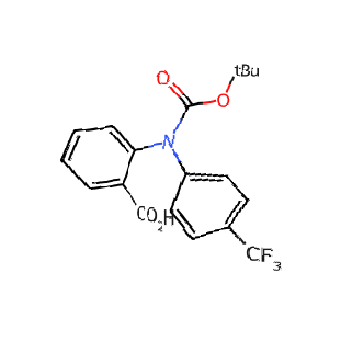 CC(C)(C)OC(=O)N(c1ccc(C(F)(F)F)cc1)c1ccccc1C(=O)O